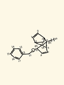 C1=CC2CC1[C@@H]1C3C=C[C@@H](OCc4ccccc4)[C@@]231